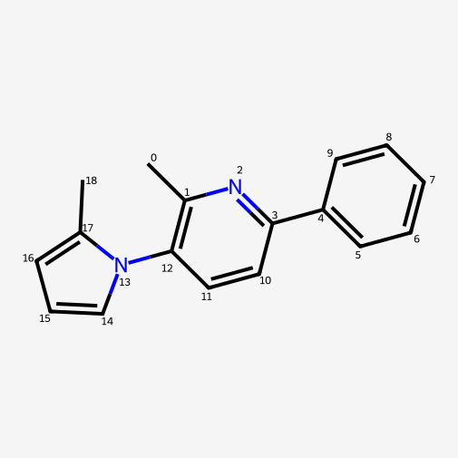 Cc1nc(-c2ccccc2)ccc1-n1cccc1C